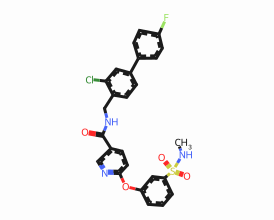 CNS(=O)(=O)c1cccc(Oc2ccc(C(=O)NCc3ccc(-c4ccc(F)cc4)cc3Cl)cn2)c1